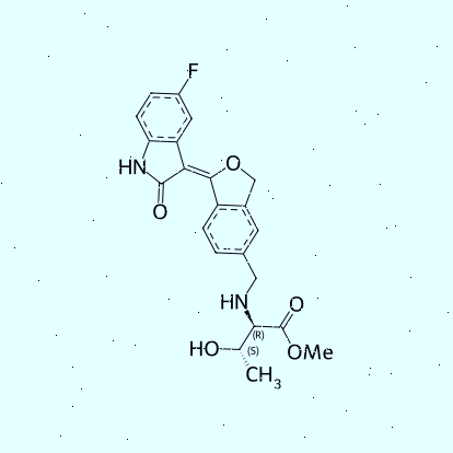 COC(=O)[C@H](NCc1ccc2c(c1)COC2=C1C(=O)Nc2ccc(F)cc21)[C@H](C)O